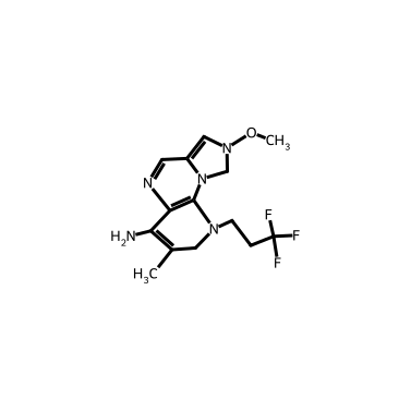 CON1C=C2C=NC3=C(N(CCC(F)(F)F)CC(C)=C3N)N2C1